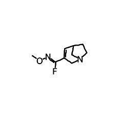 CON=C(F)C1=CC2CCN(C1)C2